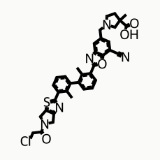 Cc1c(-c2nc3cc(CN4CCC(C)(C(=O)O)C4)cc(C#N)c3o2)cccc1-c1cccc(-c2nc3c(s2)CN(C(=O)CCl)C3)c1C